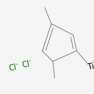 CC1=CC(C)[C]([Ti+2])=C1.[Cl-].[Cl-]